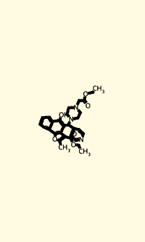 CCOC(=O)CN1CCN(C(c2ccncc2)c2c(O)c3ccccc3c3oc(C)c(C(=O)OCC)c23)CC1